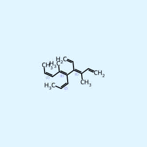 C=C/C(C)=C(C=C)/C(/C=C\C)=C(C)/C=C\C